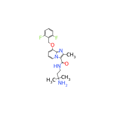 Cc1nc2c(OCc3c(F)cccc3F)cccn2c1C(=O)NCCC(C)(C)N